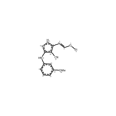 CCOC=Nc1[nH]nc(Nc2cccc(OC)c2)c1C#N